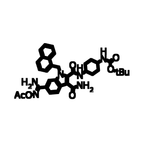 CC(=O)ON=C(N)c1ccc2c(C(N)=O)c(C(=O)NC3CCC(NC(=O)OC(C)(C)C)CC3)n(Cc3cccc4ccccc34)c2c1